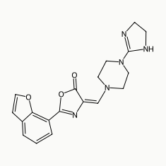 O=C1OC(c2cccc3ccoc23)=N/C1=C/N1CCN(C2=NCCN2)CC1